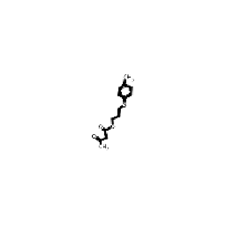 CC(=O)CC(=O)OCCCSc1ccc(C)cc1